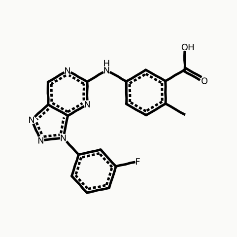 Cc1ccc(Nc2ncc3nnn(-c4cccc(F)c4)c3n2)cc1C(=O)O